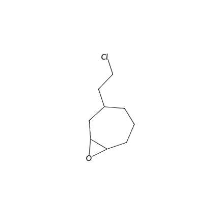 ClCCC1CCCC2OC2C1